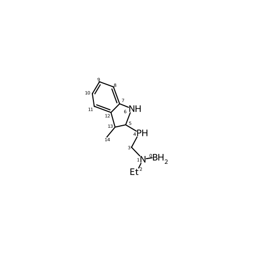 BN(CC)CPC1Nc2ccccc2C1C